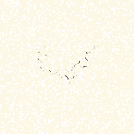 C=C/C(=C\C(=C)C(=O)NC(C)C)Nc1ncc(C(F)(F)F)c(NC/C=C/C=C\N=C\N(C)S(C)(=O)=O)n1